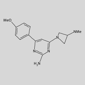 CNC1CN(c2cc(-c3ccc(OC)cc3)nc(N)n2)C1